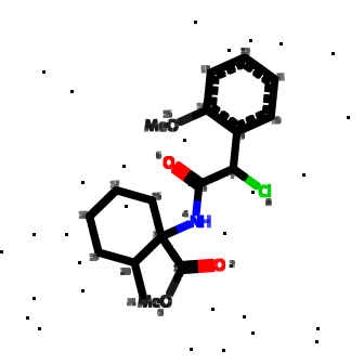 COC(=O)C1(NC(=O)C(Cl)c2ccccc2OC)CCCCC1C